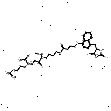 CN[C@@H](CCCCNC(=O)CCCOc1ccc(CC2SC(=O)NC2=O)c2ccccc12)C(=O)CN[C@@H](CCCNC(=N)N)C(N)=O